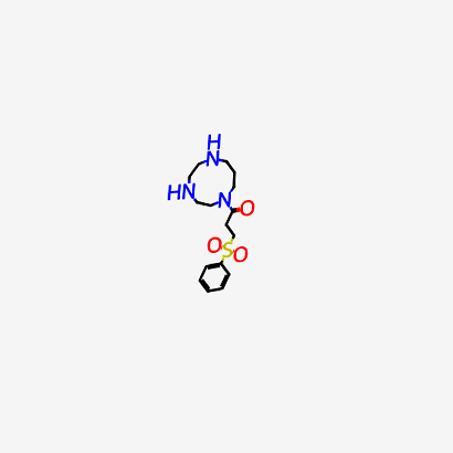 O=C(CCS(=O)(=O)c1ccccc1)N1CCCNCCNCC1